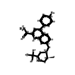 C[C@@H]1CNC(C(F)(F)F)CN1Cc1ccc2c(-c3ccc(F)cc3)cc(C(N)=O)nc2c1